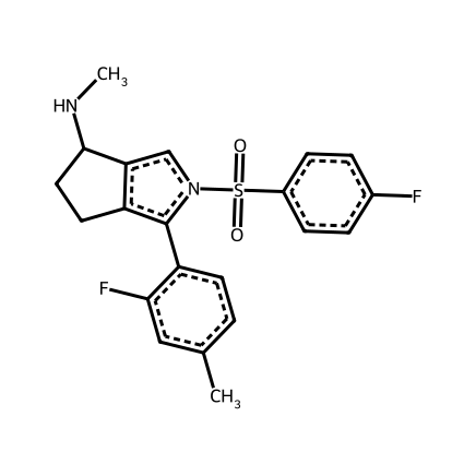 CNC1CCc2c1cn(S(=O)(=O)c1ccc(F)cc1)c2-c1ccc(C)cc1F